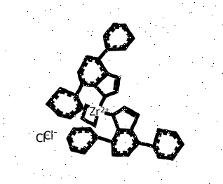 C1=C[CH]([Zr+2]2([CH]3C=Cc4c(-c5ccccc5)ccc(-c5ccccc5)c43)[CH2]C[CH2]2)c2c(-c3ccccc3)ccc(-c3ccccc3)c21.[Cl-].[Cl-]